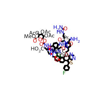 COC(=O)[C@H]1OC(OC(=O)N[C@@H](CC(=O)N(C)Cc2cc(NC(=O)[C@H](CCCNC(N)=O)NC(=O)[C@@H](N)C(C)C)ccc2C[N+]2(C)CCN(CCOc3ccc(-c4c(-c5ccc(F)cc5)sc5ncnc(O[C@H](Cc6ccccc6OCc6ccnc(-c7ccccc7OC)n6)C(=O)O)c45)c(C)c3Cl)CC2)C(=O)O)[C@H](OC(C)=O)[C@@H](OC(C)=O)[C@@H]1OC(C)=O